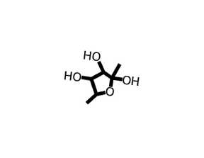 CC1OC(C)(O)C(O)C1O